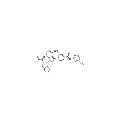 C=CC(=O)N1CC2CCCC2C1c1nc(-c2ccc(C(=O)Nc3cc(C(F)(F)F)ccn3)cc2)c2c(N)nccn12